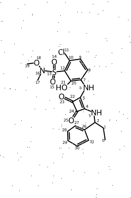 CCC(Nc1c(Nc2ccc(Cl)c(S(=O)(=O)N(C)OC)c2O)c(=O)c1=O)c1ccccc1